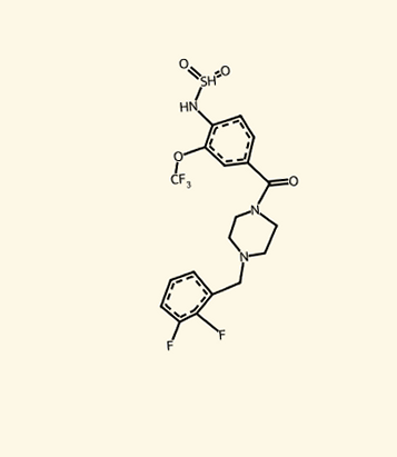 O=C(c1ccc(N[SH](=O)=O)c(OC(F)(F)F)c1)N1CCN(Cc2cccc(F)c2F)CC1